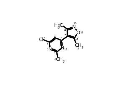 Cc1nc(Cl)cc(-c2c(C)noc2C)n1